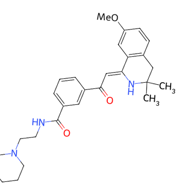 COc1ccc2c(c1)/C(=C/C(=O)c1cccc(C(=O)NCCN3CCCCC3)c1)NC(C)(C)C2